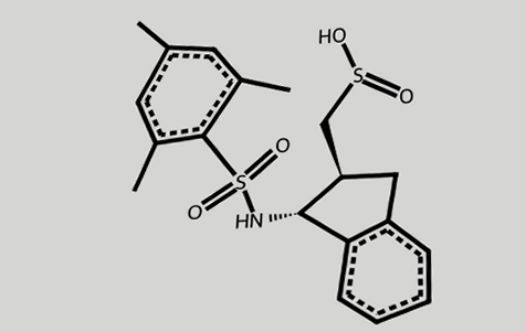 Cc1cc(C)c(S(=O)(=O)N[C@H]2c3ccccc3C[C@@H]2CS(=O)O)c(C)c1